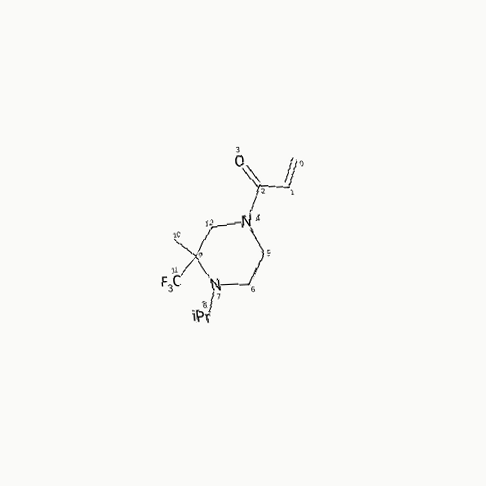 C=CC(=O)N1CCN(C(C)C)C(C)(C(F)(F)F)C1